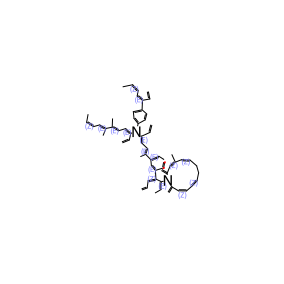 C=C/C=C(C(/C=C)=C/C(=C\C)C(/C)=C/C=C(\C=C)N(/C(C=C)=C/C=C(C)/C(C)=C/C=C\C)c1ccc(/C(C=C)=C/C=C\C)cc1)\C(=C/C)N1C(=C)/C=C\C=C/CC/C=C\C(C)=C/C1=C